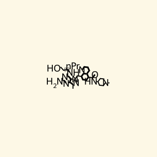 CCC[C@@H](CCO)Nc1nc(N)nc2c(C)nn(Cc3ccc(C(=O)NC4CCN(C)CC4)c4cccnc34)c12